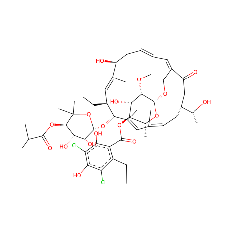 CCc1c(Cl)c(O)c(Cl)c(O)c1C(=O)O[C@H]1[C@H](O)[C@H](OC)[C@H](OC/C2=C\C=C\C[C@H](O)/C(C)=C/[C@H](CC)[C@@H](O[C@H]3OC(C)(C)[C@H](OC(=O)C(C)C)[C@@H](O)[C@H]3O)/C(C)=C/C(C)=C/C[C@@H]([C@@H](C)O)CC2=O)O[C@@H]1C